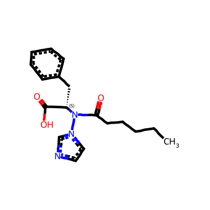 CCCCCC(=O)N([C@@H](Cc1ccccc1)C(=O)O)n1ccnc1